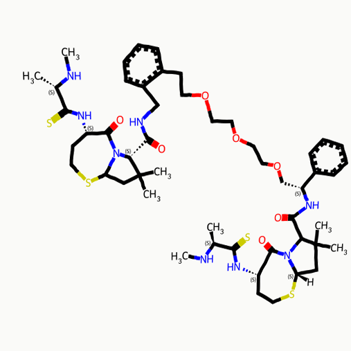 CN[C@@H](C)C(=S)N[C@H]1CCS[C@H]2CC(C)(C)C(C(=O)N[C@H](COCCOCCOCCc3ccccc3CNC(=O)[C@H]3N4C(=O)[C@@H](NC(=S)[C@H](C)NC)CCSC4CC3(C)C)c3ccccc3)N2C1=O